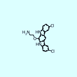 NCCOc1c2[nH]c3ccc(Cl)cc3c2cc2c1[nH]c1ccc(Cl)cc12